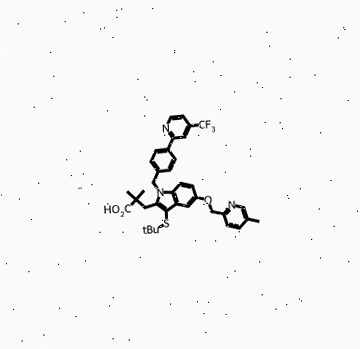 Cc1ccc(COc2ccc3c(c2)c(SC(C)(C)C)c(CC(C)(C)C(=O)O)n3Cc2ccc(-c3cc(C(F)(F)F)ccn3)cc2)nc1